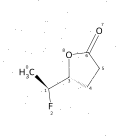 C[C@H](F)[C@H]1CCC(=O)O1